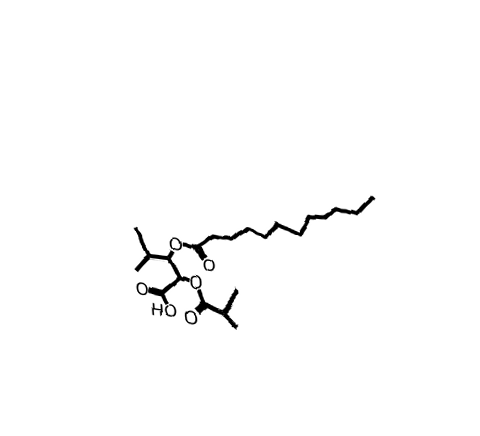 CCCCCCCCCCCC(=O)OC(C(C)C)C(OC(=O)C(C)C)C(=O)O